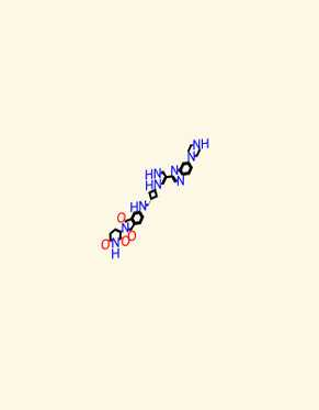 N=C/C(=C\N[C@H]1C[C@@H](CNc2ccc3c(c2)C(=O)N(C2CCC(=O)NC2=O)C3=O)C1)c1cnc2ccc(N3CCNCC3)cc2n1